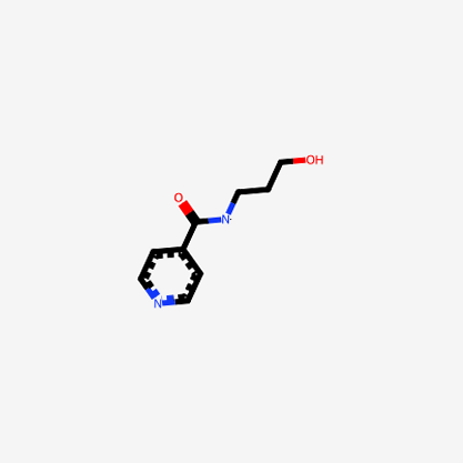 O=C([N]CCCO)c1ccncc1